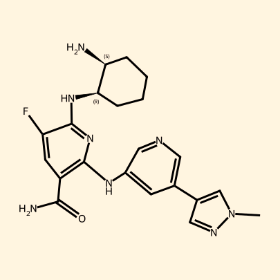 Cn1cc(-c2cncc(Nc3nc(N[C@@H]4CCCC[C@@H]4N)c(F)cc3C(N)=O)c2)cn1